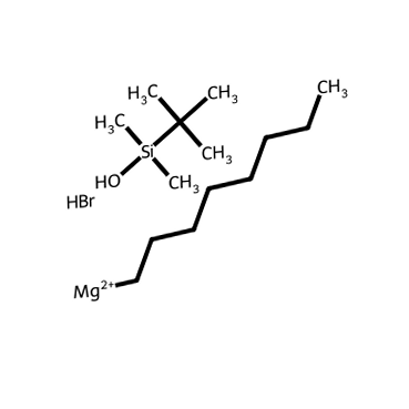 Br.CC(C)(C)[Si](C)(C)O.CCCCCCC[CH2][Mg+2]